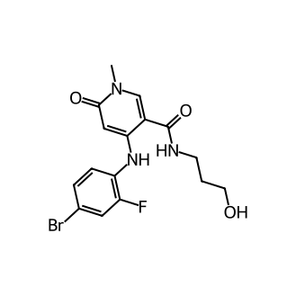 Cn1cc(C(=O)NCCCO)c(Nc2ccc(Br)cc2F)cc1=O